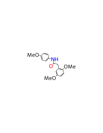 COc1ccc(NC(=O)Cc2cc(OC)ccc2OC)cc1